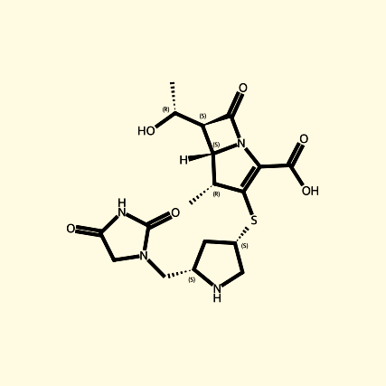 C[C@@H](O)[C@H]1C(=O)N2C(C(=O)O)=C(S[C@@H]3CN[C@H](CN4CC(=O)NC4=O)C3)[C@H](C)[C@H]12